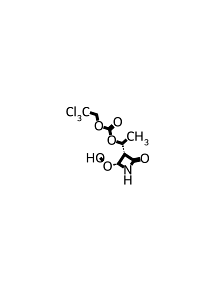 CC(OC(=O)OCC(Cl)(Cl)Cl)[C@@H]1C(=O)N[C@@H]1OO